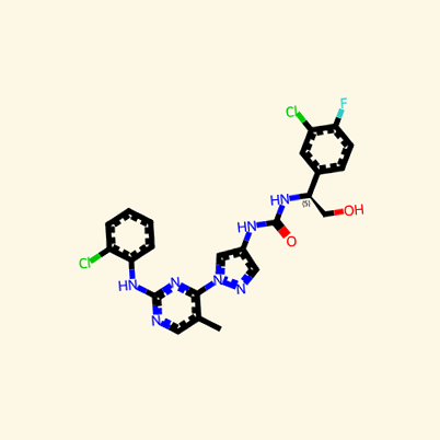 Cc1cnc(Nc2ccccc2Cl)nc1-n1cc(NC(=O)N[C@H](CO)c2ccc(F)c(Cl)c2)cn1